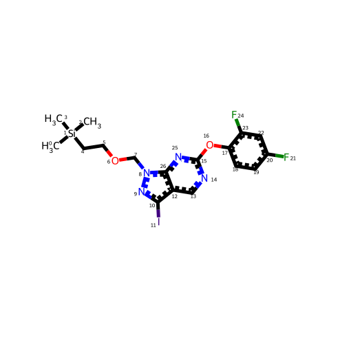 C[Si](C)(C)CCOCn1nc(I)c2cnc(Oc3ccc(F)cc3F)nc21